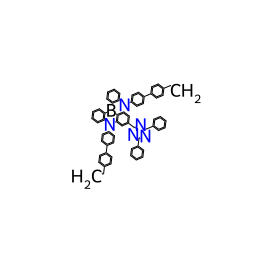 C=Cc1ccc(-c2ccc(N3c4ccccc4B4c5ccccc5N(c5ccc(-c6ccc(C=C)cc6)cc5)c5cc(-c6nc(-c7ccccc7)nc(-c7ccccc7)n6)cc3c54)cc2)cc1